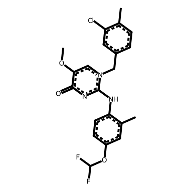 COc1cn(Cc2ccc(C)c(Cl)c2)c(Nc2ccc(OC(F)F)cc2C)nc1=O